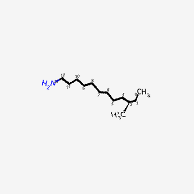 CC[C@@H](C)CCCCCCCCCN